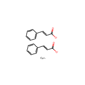 O=C([O-])/C=C/c1ccccc1.O=C([O-])/C=C/c1ccccc1.[Cu+2]